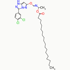 CCCCCCCCCCCCCCCCCCC(=O)OC(C)/N=C/Oc1cc2[nH]nc(-c3ccc(Cl)c(Cl)c3)n2n1